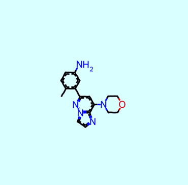 Cc1ccc(N)cc1-c1cc(N2CCOCC2)c2nccn2n1